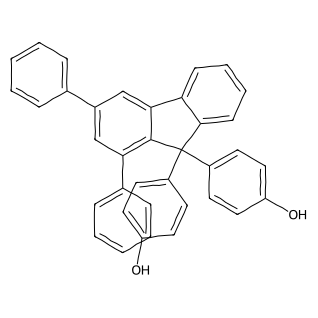 Oc1ccc(C2(c3ccc(O)cc3)c3ccccc3-c3cc(-c4ccccc4)cc(-c4ccccc4)c32)cc1